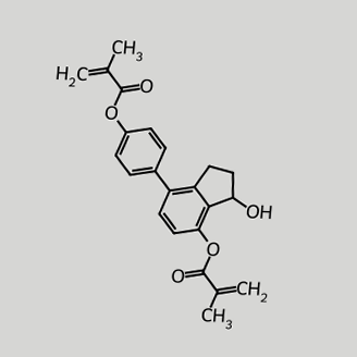 C=C(C)C(=O)Oc1ccc(-c2ccc(OC(=O)C(=C)C)c3c2CCC3O)cc1